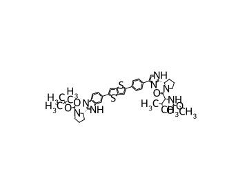 COC(=O)N[C@H](C(=O)N1CCC[C@H]1c1nc(-c2ccc(-c3cc4sc(-c5ccc6nc([C@@H]7CCCN7C(=O)OC(C)(C)C)[nH]c6c5)cc4s3)cc2)c[nH]1)C(C)C